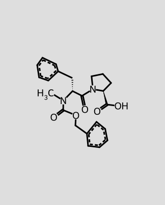 CN(C(=O)OCc1ccccc1)[C@H](Cc1ccccc1)C(=O)N1CCC[C@H]1C(=O)O